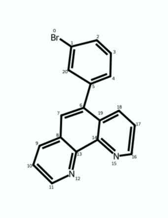 Brc1cccc(-c2cc3cccnc3c3ncccc23)c1